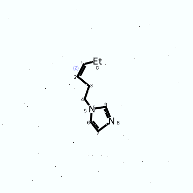 CC/C=C\CCn1ccnc1